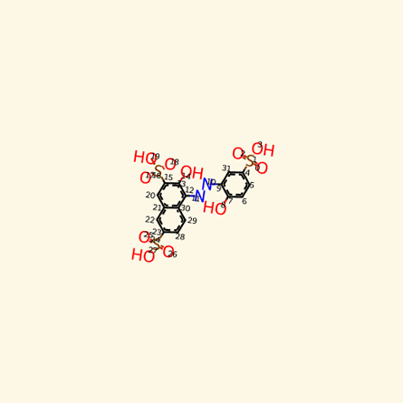 O=S(=O)(O)c1ccc(O)c(/N=N/c2c(O)c(S(=O)(=O)O)cc3cc(S(=O)(=O)O)ccc23)c1